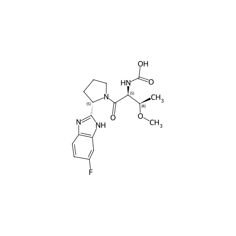 CO[C@H](C)[C@H](NC(=O)O)C(=O)N1CCC[C@H]1c1nc2ccc(F)cc2[nH]1